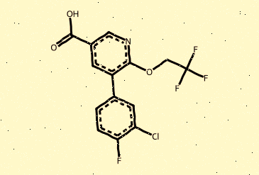 O=C(O)c1cnc(OCC(F)(F)F)c(-c2ccc(F)c(Cl)c2)c1